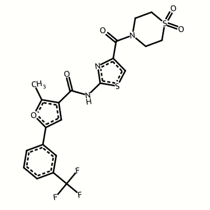 Cc1oc(-c2cccc(C(F)(F)F)c2)cc1C(=O)Nc1nc(C(=O)N2CCS(=O)(=O)CC2)cs1